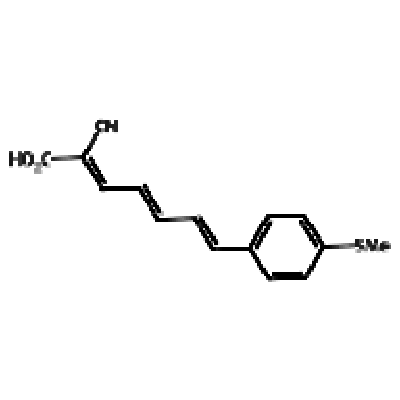 CSc1ccc(/C=C/C=C/C=C(\C#N)C(=O)O)cc1